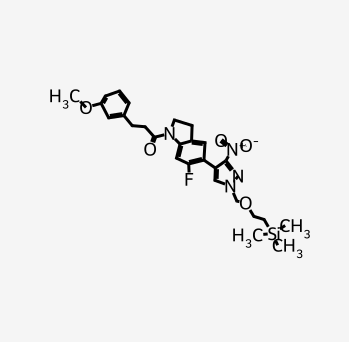 COc1cccc(CCC(=O)N2CCc3cc(-c4cn(COCC[Si](C)(C)C)nc4[N+](=O)[O-])c(F)cc32)c1